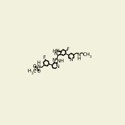 CCNCc1cncc(-c2cc3c(-c4nc5c(-c6cc(F)cc(CNS(C)(=O)=O)c6)ccnc5[nH]4)n[nH]c3cc2F)c1